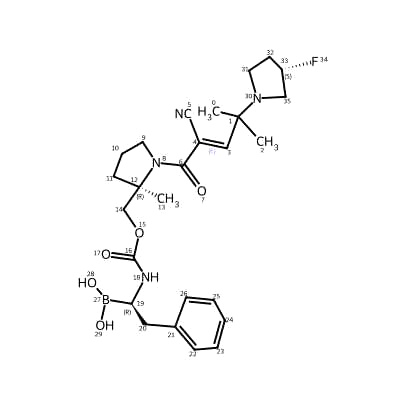 CC(C)(/C=C(\C#N)C(=O)N1CCC[C@]1(C)COC(=O)N[C@@H](Cc1ccccc1)B(O)O)N1CC[C@H](F)C1